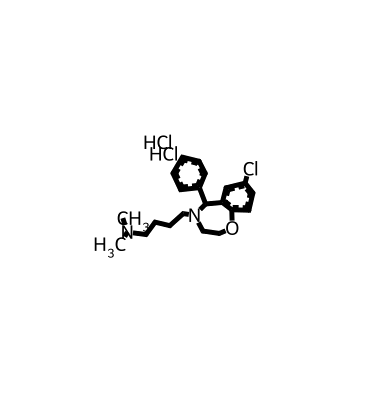 CN(C)CCCCN1CCOc2ccc(Cl)cc2C1c1ccccc1.Cl.Cl